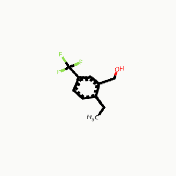 CCc1ccc(C(F)(F)F)cc1CO